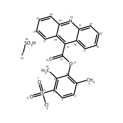 Cc1ccc(S(=O)(=O)Cl)c(C)c1OC(=O)c1c2ccccc2nc2ccccc12.O=S(=O)(O)F